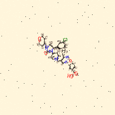 Cc1nc(Oc2ccc(C(=O)O)cc2)ncc1CN1CCC(N2C(=O)N(C3CCOCC3)CC2c2cccc(Cl)c2)CC1